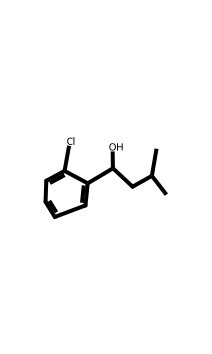 CC(C)CC(O)c1ccccc1Cl